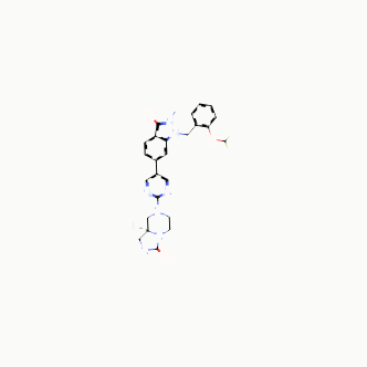 Cn1c(=O)c2ccc(-c3cnc(N4CCN5C(=O)NC[C@@H]5C4)nc3)cc2n1Cc1ccccc1OC(F)F